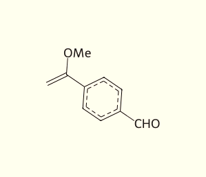 C=C(OC)c1ccc(C=O)cc1